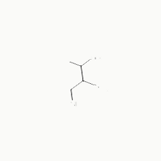 CCCCC(CC)C(N)CN